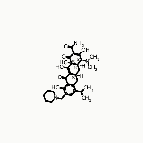 CC(C)c1cc(CN2CCCCC2)c(O)c2c1C[C@H]1C[C@H]3[C@H](N(C)C)C(O)=C(C(N)=O)C(=O)[C@@]3(O)C(O)=C1C2=O